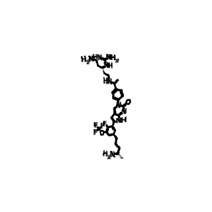 C[C@H](N)CCCc1cc(OC(F)(F)F)c(F)c(-c2cc3cn(-c4ccc([C@H](C)NCC[C@H](CCN)NC(=N)N)cc4)c(=O)nc3[nH]2)c1